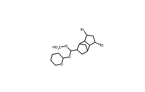 CCC1CC(CC)C2C3CC(CC3C(OC(=O)O)OC3CCCCO3)C12